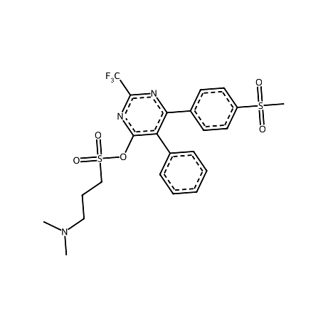 CN(C)CCCS(=O)(=O)Oc1nc(C(F)(F)F)nc(-c2ccc(S(C)(=O)=O)cc2)c1-c1ccccc1